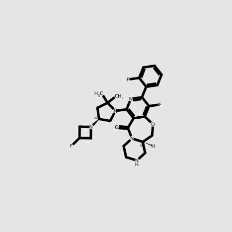 CC1(C)C[C@H](N2CC(F)C2)CN1c1nc(-c2ccccc2F)c(F)c2c1C(=O)N1CCNC[C@@H]1CO2